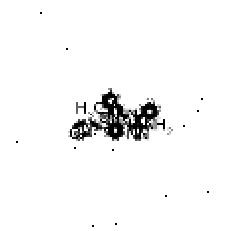 Cc1cccc2cc(CNc3ncnc(N)c3C(=N)c3ccccc3)n(-c3ccccc3OCCN3CCOCC3)c(=O)c12